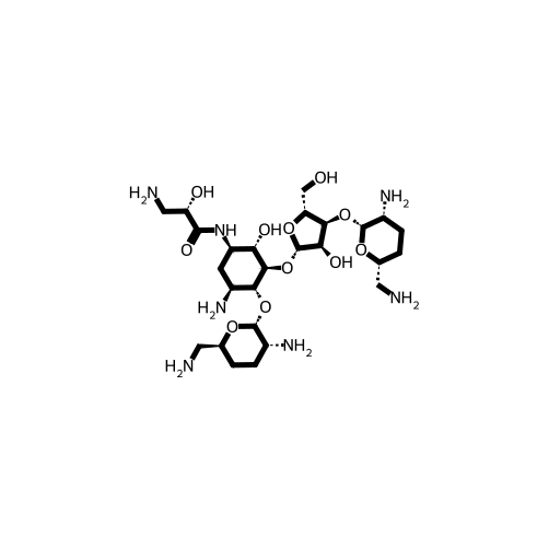 NC[C@@H]1CC[C@@H](N)[C@@H](O[C@H]2[C@H](O[C@@H]3O[C@H](CO)[C@@H](O[C@H]4O[C@@H](CN)CC[C@H]4N)[C@H]3O)[C@@H](O)[C@H](NC(=O)[C@@H](O)CN)C[C@@H]2N)O1